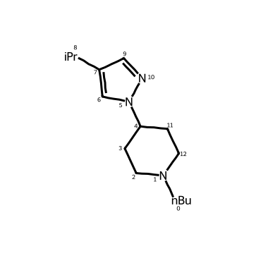 CCCCN1CCC(n2cc(C(C)C)cn2)CC1